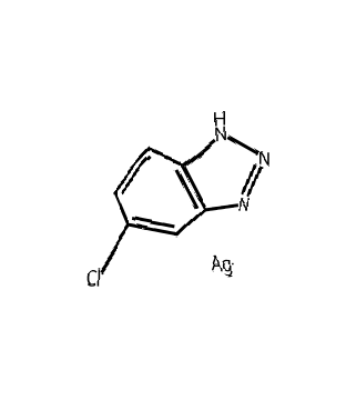 Clc1ccc2[nH]nnc2c1.[Ag]